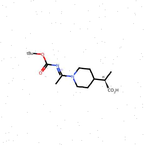 C/C(=N\C(=O)OC(C)(C)C)N1CCC([C@@H](C)C(=O)O)CC1